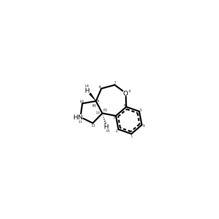 c1ccc2c(c1)OCC[C@H]1CNC[C@H]21